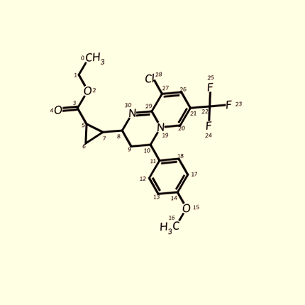 CCOC(=O)C1CC1C1CC(c2ccc(OC)cc2)N2C=C(C(F)(F)F)C=C(Cl)C2=N1